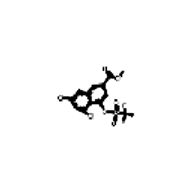 COC(=O)c1cc(OS(=O)(=O)C(F)(F)F)c2c(Cl)cc(Cl)cc2c1